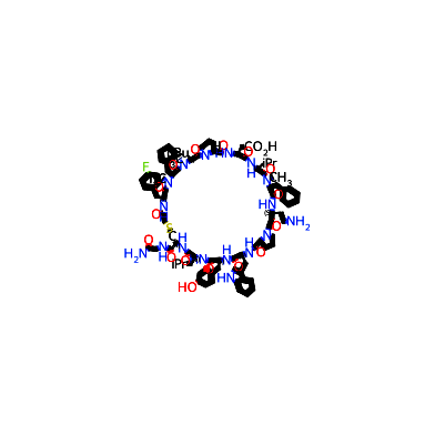 CCCC[C@H]1C(=O)N2CCC[C@@H]2C(=O)N[C@@H](CC(=O)O)C(=O)N[C@@H](C(C)C)C(=O)N(C)C(Cc2ccccc2)C(=O)N[C@@H](CCN)C2OC2N2CCCC2C(=O)N[C@@H](Cc2c[nH]c3ccccc23)C(=O)N[C@@H](Cc2ccc(O)cc2)C(=O)N[C@@H](CC(C)C)C(=O)N[C@H](C(=O)NCC(N)=O)CSCC(=O)N[C@@H](Cc2ccc(F)cc2)C(=O)N(C)C(Cc2ccccc2)C(=O)N1C